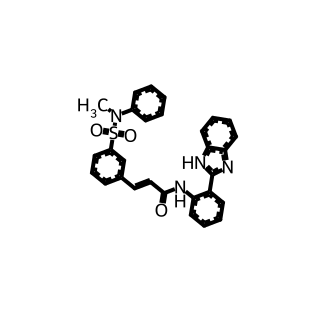 CN(c1ccccc1)S(=O)(=O)c1cccc(/C=C/C(=O)Nc2ccccc2-c2nc3ccccc3[nH]2)c1